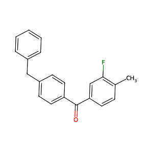 Cc1ccc(C(=O)c2ccc(Cc3ccccc3)cc2)cc1F